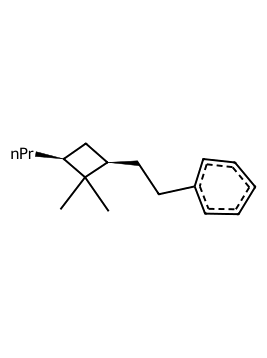 CCC[C@H]1C[C@@H](CCc2ccccc2)C1(C)C